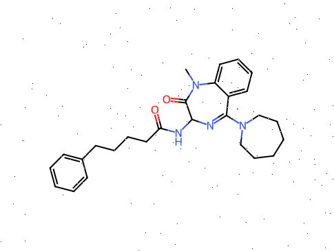 CN1C(=O)C(NC(=O)CCCCc2ccccc2)N=C(N2CCCCCC2)c2ccccc21